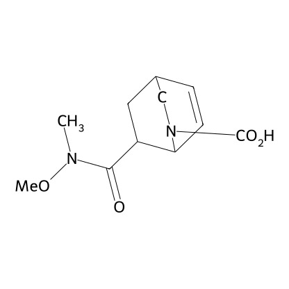 CON(C)C(=O)C1CC2C=CC1N(C(=O)O)C2